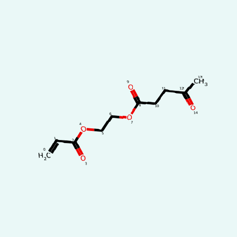 C=CC(=O)OCCOC(=O)CCC(C)=O